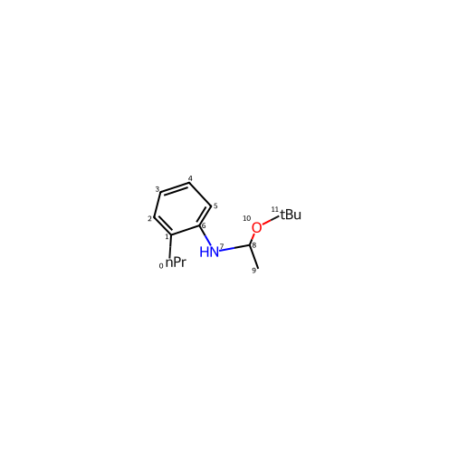 CCCc1ccccc1NC(C)OC(C)(C)C